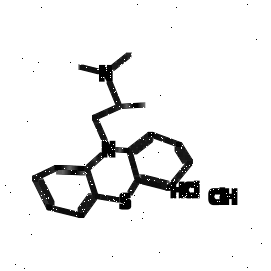 CC(CN1c2ccccc2Sc2ccccc21)N(C)C.Cl.Cl